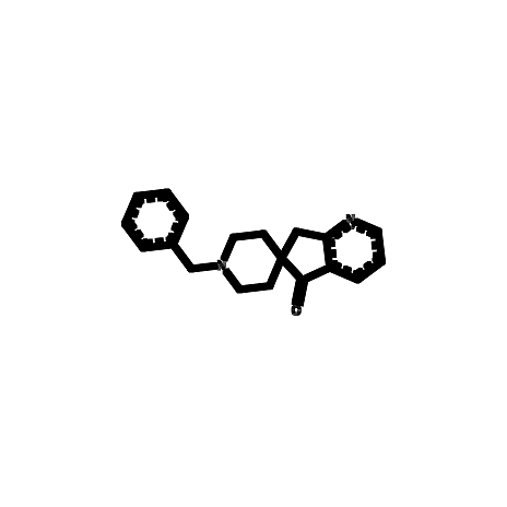 O=C1c2cccnc2CC12CCN(Cc1ccccc1)CC2